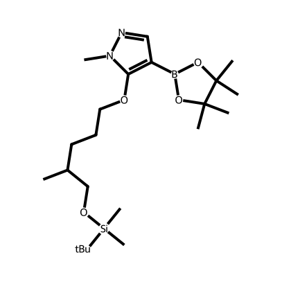 CC(CCCOc1c(B2OC(C)(C)C(C)(C)O2)cnn1C)CO[Si](C)(C)C(C)(C)C